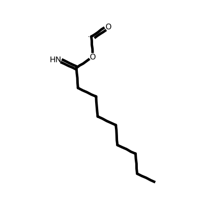 CCCCCCCCC(=N)O[C]=O